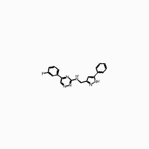 Fc1cccc(-c2cnnc(NCc3cc(-c4ccccc4)[nH]n3)n2)c1